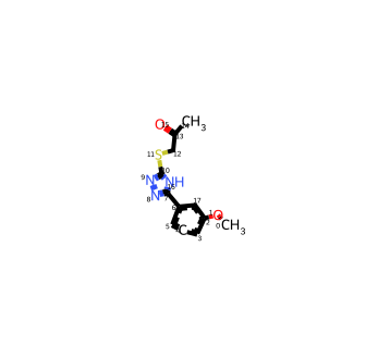 COc1cccc(-c2nnc(SCC(C)=O)[nH]2)c1